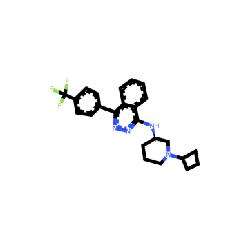 FC(F)(F)c1ccc(-c2nnc(N[C@@H]3CCCN(C4CCC4)C3)c3ccccc23)cc1